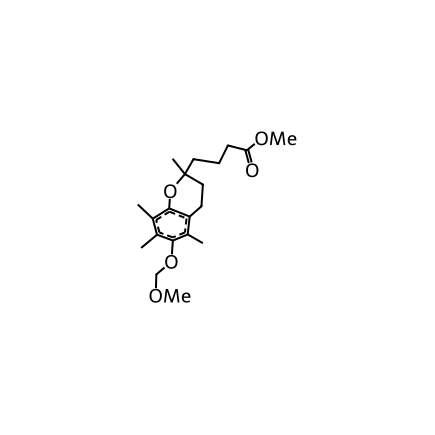 COCOc1c(C)c(C)c2c(c1C)CCC(C)(CCCC(=O)OC)O2